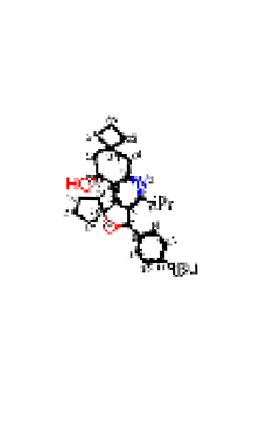 CC(C)c1nc2c(c3c1C(c1ccc(C(C)(C)C)cc1)OC31CCCC1)C(O)CC1(CCC1)C2